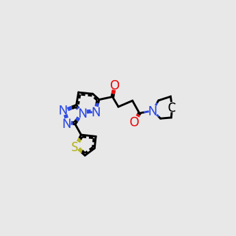 O=C(CCC(=O)N1CCCCC1)c1ccc2nnc(-c3cccs3)n2n1